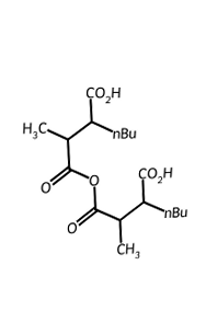 CCCCC(C(=O)O)C(C)C(=O)OC(=O)C(C)C(CCCC)C(=O)O